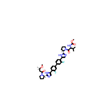 COC(=O)N[C@H](C(=O)N1CCC[C@H]1c1ncc(-c2ccc(-c3ccc(-c4cnc([C@@H]5CCCN5C(=O)C[C@H](C)OC)[nH]4)c(F)c3)cc2F)[nH]1)C(C)C